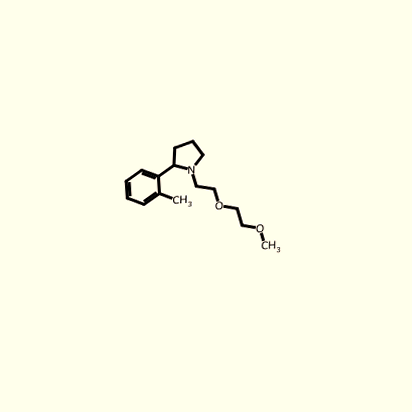 COCCOCCN1CCCC1c1ccccc1C